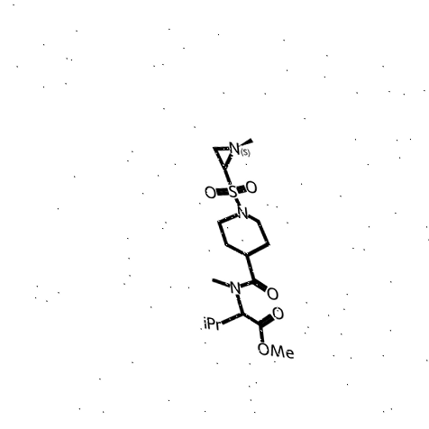 COC(=O)C(C(C)C)N(C)C(=O)C1CCN(S(=O)(=O)C2C[N@@]2C)CC1